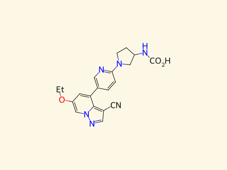 CCOc1cc(-c2ccc(N3CCC(NC(=O)O)C3)nc2)c2c(C#N)cnn2c1